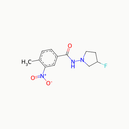 Cc1ccc(C(=O)NN2CCC(F)C2)cc1[N+](=O)[O-]